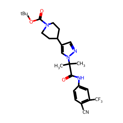 CC(C)(C)OC(=O)N1CCC(c2cnn(C(C)(C)C(=O)Nc3ccc(C#N)c(C(F)(F)F)c3)c2)CC1